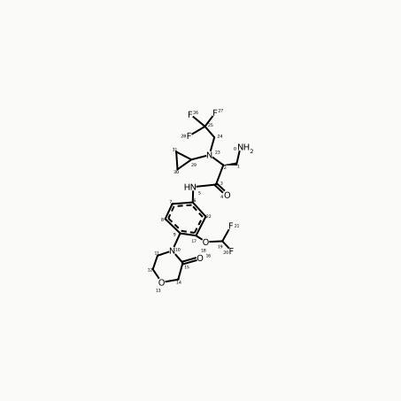 NC[C@@H](C(=O)Nc1ccc(N2CCOCC2=O)c(OC(F)F)c1)N(CC(F)(F)F)C1CC1